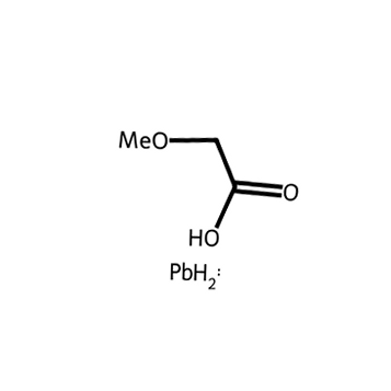 COCC(=O)O.[PbH2]